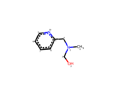 CN(CO)Cc1ccccn1